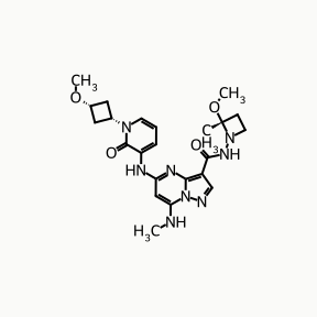 CNc1cc(Nc2cccn([C@H]3C[C@@H](OC)C3)c2=O)nc2c(C(=O)NN3CC[C@@]3(C)OC)cnn12